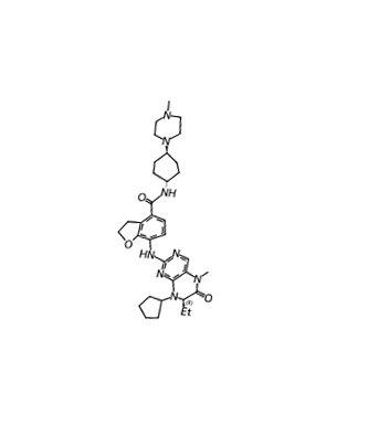 CC[C@@H]1C(=O)N(C)c2cnc(Nc3ccc(C(=O)N[C@H]4CC[C@H](N5CCN(C)CC5)CC4)c4c3OCC4)nc2N1C1CCCC1